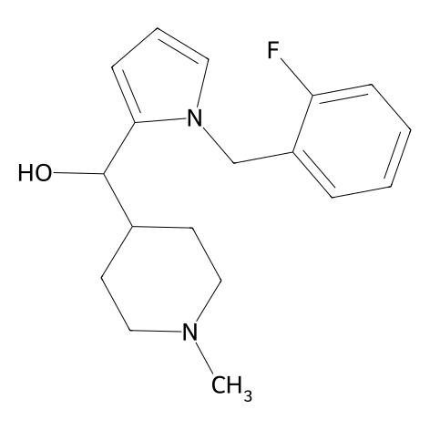 CN1CCC(C(O)c2cccn2Cc2ccccc2F)CC1